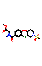 COC(=O)CN(C)C(=O)c1ccc(OC2CCN(S(C)(=O)=O)CC2)c(Cl)c1